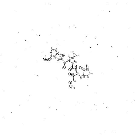 COc1cccc2[nH]c(C(=O)N3CC4(CC4)C[C@H]3C(=O)N[C@@H](C[C@@H]3CCNC3=O)C(=O)COC(F)(F)F)cc12